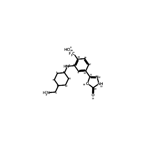 Cl.NCC1CCC(Nc2cc(-c3n[nH]c(=O)o3)ccc2C(F)(F)F)CC1